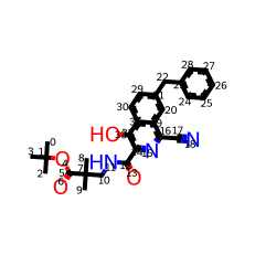 CC(C)(C)OC(=O)C(C)(C)CNC(=O)c1nc(C#N)c2cc(Cc3ccccc3)ccc2c1O